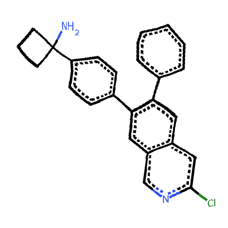 NC1(c2ccc(-c3cc4cnc(Cl)cc4cc3-c3ccccc3)cc2)CCC1